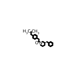 CC(C)Cc1ccc(CC(=O)N2CCC[C@H](Cc3ccccc3)C2)cc1